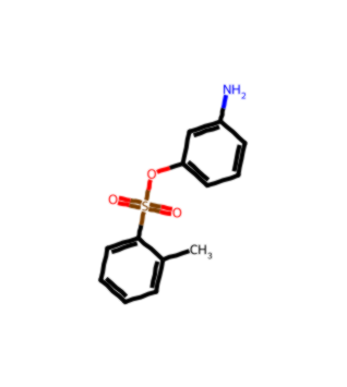 Cc1ccccc1S(=O)(=O)Oc1cccc(N)c1